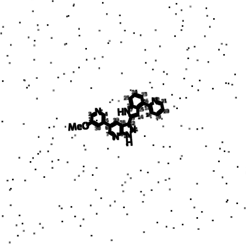 COc1cncc(-c2cnc3[nH]nc(-c4cc5c(-c6ccccn6)cccc5[nH]4)c3c2)c1